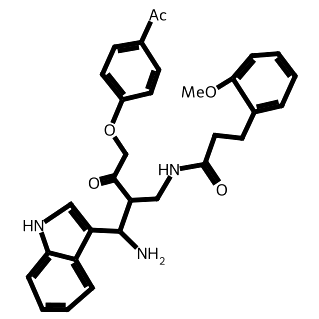 COc1ccccc1CCC(=O)NCC(C(=O)COc1ccc(C(C)=O)cc1)C(N)c1c[nH]c2ccccc12